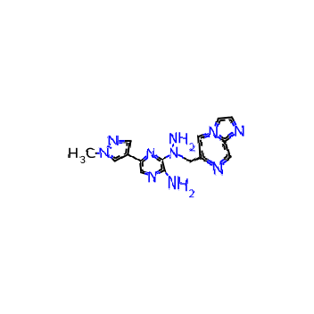 Cn1cc(-c2cnc(N)c(N(N)Cc3cn4ccnc4cn3)n2)cn1